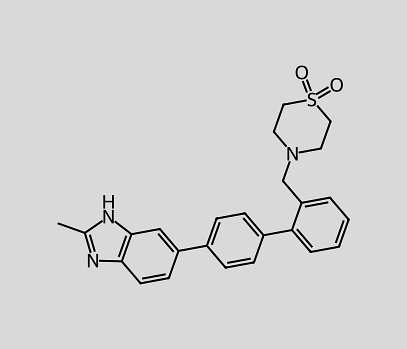 Cc1nc2ccc(-c3ccc(-c4ccccc4CN4CCS(=O)(=O)CC4)cc3)cc2[nH]1